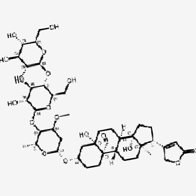 CO[C@H]1C[C@H](O[C@H]2CC[C@]3(C=O)[C@H]4CC[C@]5(C)[C@@H](C6=CC(=O)OC6)CC[C@]5(O)[C@@H]4CC[C@]3(O)C2)O[C@H](C)[C@H]1O[C@@H]1O[C@H](CO)[C@@H](O[C@@H]2O[C@H](CO)[C@@H](O)[C@H](O)[C@H]2O)[C@H](O)[C@H]1O